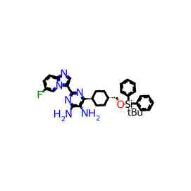 CC(C)(C)[Si](OC[C@H]1CC[C@H](c2nc(-c3cnc4ccc(F)cn34)nc(N)c2N)CC1)(c1ccccc1)c1ccccc1